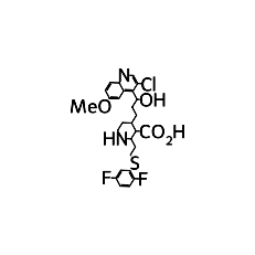 COc1ccc2ncc(Cl)c(C(O)CCC3CCNC(CCSc4cc(F)ccc4F)C3C(=O)O)c2c1